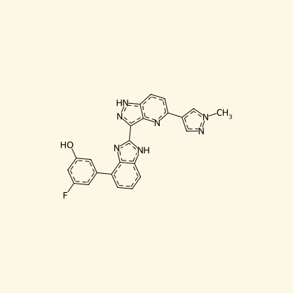 Cn1cc(-c2ccc3[nH]nc(-c4nc5c(-c6cc(O)cc(F)c6)cccc5[nH]4)c3n2)cn1